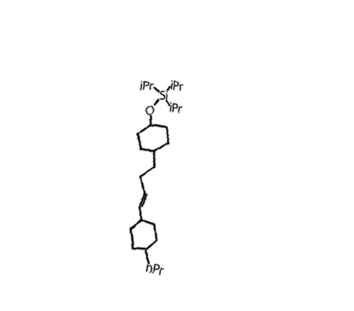 CCCC1CCC(C=CCCC2CCC(O[Si](C(C)C)(C(C)C)C(C)C)CC2)CC1